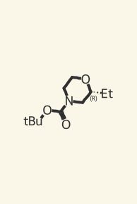 CC[C@@H]1CN(C(=O)OC(C)(C)C)CCO1